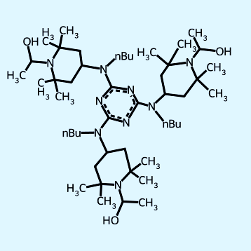 CCCCN(c1nc(N(CCCC)C2CC(C)(C)N(C(C)O)C(C)(C)C2)nc(N(CCCC)C2CC(C)(C)N(C(C)O)C(C)(C)C2)n1)C1CC(C)(C)N(C(C)O)C(C)(C)C1